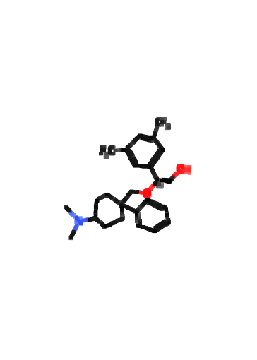 CN(C)C1CCC(CO[C@H](CO)c2cc(C(F)(F)F)cc(C(F)(F)F)c2)(c2ccccc2)CC1